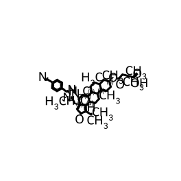 CC(C)C1=C2[C@H]3CCC4[C@@]5(C)CC[C@H](OC(=O)CC(C)(C)C(=O)O)C(C)(C)C5CC[C@@]4(C)[C@]3(C)CC[C@@]2(Cc2nnc(-c3ccc(C#N)cc3)n2C)CC1=O